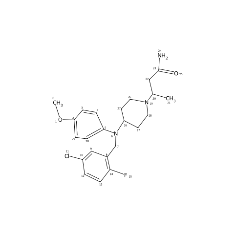 COc1ccc(N(Cc2cc(Cl)ccc2F)C2CCN(C(C)CC(N)=O)CC2)cc1